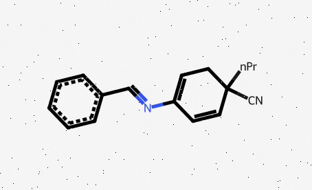 CCCC1(C#N)C=CC(N=Cc2ccccc2)=CC1